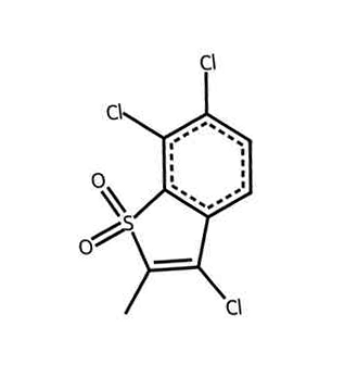 CC1=C(Cl)c2ccc(Cl)c(Cl)c2S1(=O)=O